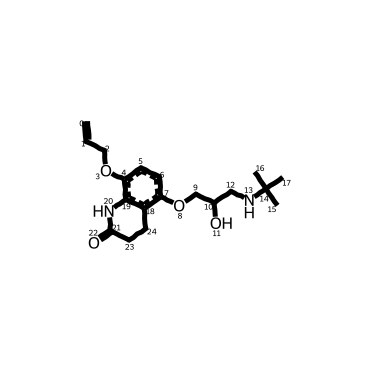 C=CCOc1ccc(OCC(O)CNC(C)(C)C)c2c1NC(=O)CC2